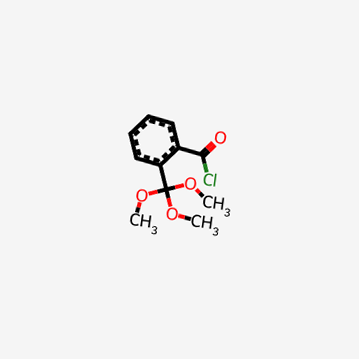 COC(OC)(OC)c1ccccc1C(=O)Cl